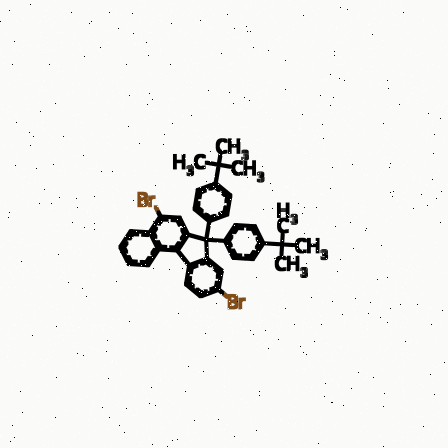 CC(C)(C)c1ccc(C2(c3ccc(C(C)(C)C)cc3)c3cc(Br)ccc3-c3c2cc(Br)c2ccccc32)cc1